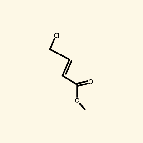 COC(=O)C=CCCl